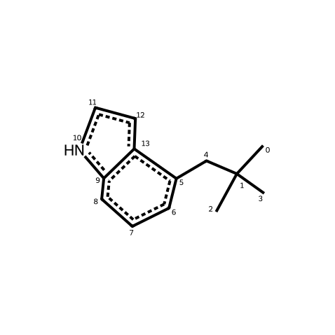 CC(C)(C)Cc1cccc2[nH]ccc12